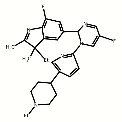 CCN1CCC(c2ccc(N3C=C(F)C=NC3c3cc(F)c4c(c3)C(C)(CC)C(C)=N4)nc2)CC1